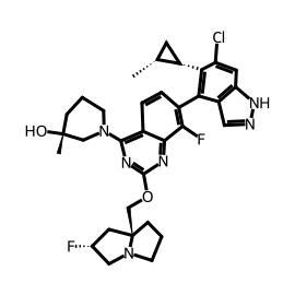 C[C@@H]1C[C@@H]1c1c(Cl)cc2[nH]ncc2c1-c1ccc2c(N3CCC[C@@](C)(O)C3)nc(OC[C@@]34CCCN3C[C@H](F)C4)nc2c1F